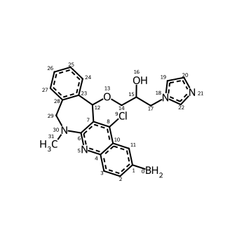 Bc1ccc2nc3c(c(Cl)c2c1)C(OCC(O)Cn1ccnc1)c1ccccc1CN3C